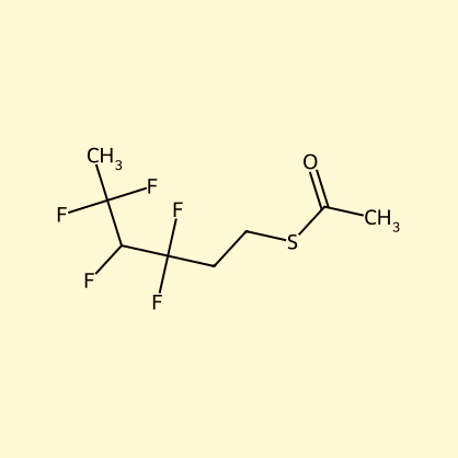 CC(=O)SCCC(F)(F)C(F)C(C)(F)F